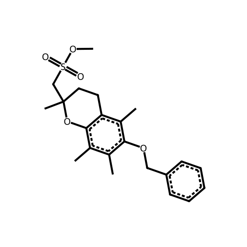 COS(=O)(=O)CC1(C)CCc2c(C)c(OCc3ccccc3)c(C)c(C)c2O1